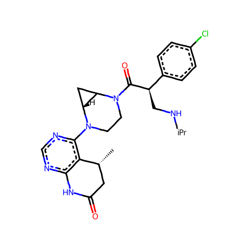 CC(C)NC[C@@H](C(=O)N1CCN(c2ncnc3c2[C@H](C)CC(=O)N3)[C@@H]2CC21)c1ccc(Cl)cc1